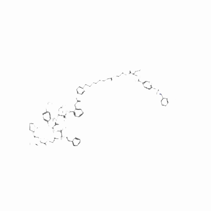 CC(=O)N1CCC[C@H]1C(=O)N[C@@H](CC(C)C)C(=O)NCC(=O)N[C@@H](CCc1ccccc1)C(=O)N[C@@H](Cc1ccc(OC(C)(C)C)cc1)C(=O)N[C@@H](CC(C)C)C(=O)Nc1ccccc1CC(=O)Oc1ccc(CCCCCCCC(=O)NCCNC(=O)[C@@](CCC(=O)O)(NC(=O)c2ccc(N/N=C/c3ccccc3S(=O)(=O)O)nc2)C(C)(C)C)cc1